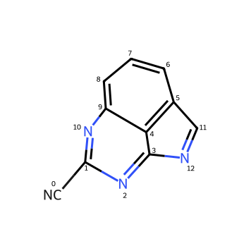 N#Cc1nc2c3c(cccc3n1)C=N2